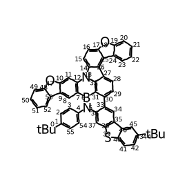 CC(C)(C)c1ccc(N2B3c4cc5c(cc4-n4c6ccc7oc8ccccc8c7c6c6ccc(c3c64)-c3cc4c(cc32)sc2ccc(C(C)(C)C)cc24)oc2ccccc25)cc1